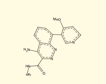 CCCNC(=O)c1nnc2c(-c3cnccc3OC)cccc2c1N